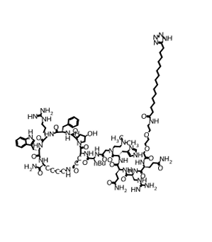 CCCC[C@H](NC(=O)CN(CCN(C)C)C(=O)[C@H](Cc1c[nH]cn1)NC(=O)[C@H](CCC(N)=O)NC(=O)[C@H](CNC(=N)N)NC(=O)[C@H](CCC(N)=O)NC(=O)COCCOCCNC(=O)CCCCCCCCCCCCCCCc1nnn[nH]1)C(=O)N[C@H]1CCC(=O)NCCCC[C@@H](C(N)=O)NC(=O)[C@H](Cc2c[nH]c3ccccc23)NC(=O)[C@H](CCCNC(=N)N)NC(=O)[C@@H](Cc2ccccc2)NC(=O)[C@@H]2C[C@@H](O)CN2C1=O